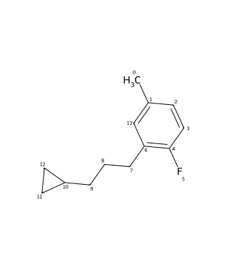 Cc1ccc(F)c(CCCC2CC2)c1